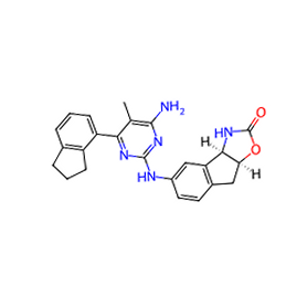 Cc1c(N)nc(Nc2ccc3c(c2)[C@H]2NC(=O)O[C@H]2C3)nc1-c1cccc2c1CCC2